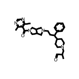 Cc1ncnc(C)c1C(=O)N1CC2CN(CCC(c3ccccc3)C3CCN(CC(C)C=O)CC3)CC2C1